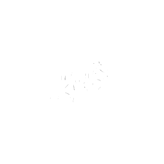 CC1=C(N)Nc2cc(CN(Cc3cccc(C)c3C)C(=O)OC(C)(C)C)ccc2O1